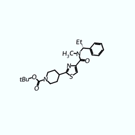 CC[C@H](c1ccccc1)N(C)C(=O)c1csc(C2CCN(C(=O)OC(C)(C)C)CC2)n1